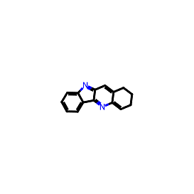 C1=c2nc3c(cc2CCC1)=Nc1ccccc1-3